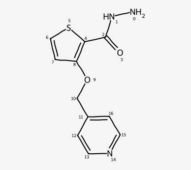 NNC(=O)c1sccc1OCc1ccncc1